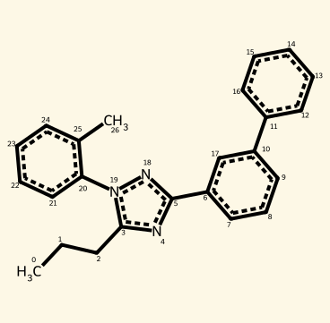 CCCc1nc(-c2cccc(-c3ccccc3)c2)nn1-c1ccccc1C